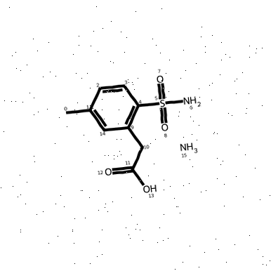 Cc1ccc(S(N)(=O)=O)c(CC(=O)O)c1.N